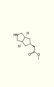 COC(=O)C[C@H]1C[C@H]2CNC[C@H]2C1